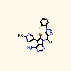 CCC(c1cn(-c2ccccc2F)nn1)n1c(Br)c(-c2cnc(C(F)(F)F)nc2)c2c(N)ncnc21